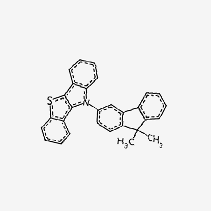 CC1(C)c2ccccc2-c2cc(-n3c4ccccc4c4sc5ccccc5c43)ccc21